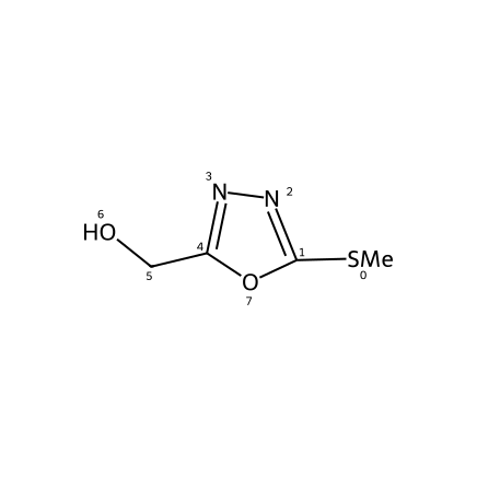 [CH2]Sc1nnc(CO)o1